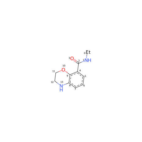 CCNC(=O)c1cccc2c1OCCN2